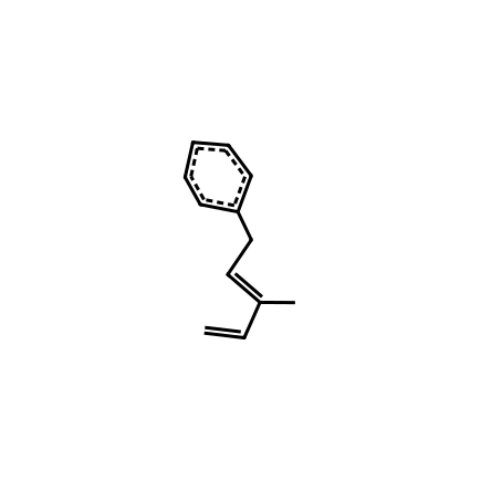 C=C/C(C)=C/Cc1ccccc1